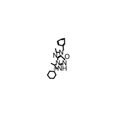 Cc1nc2c(c(=O)nc3n2C(C)[C@@H](C2CCCCC2)N3)n1Cc1ccccc1